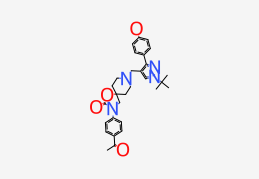 COc1ccc(-c2nn(C(C)(C)C)cc2CN2CCC3(CC2)CN(c2ccc(C(C)=O)cc2)C(=O)O3)cc1